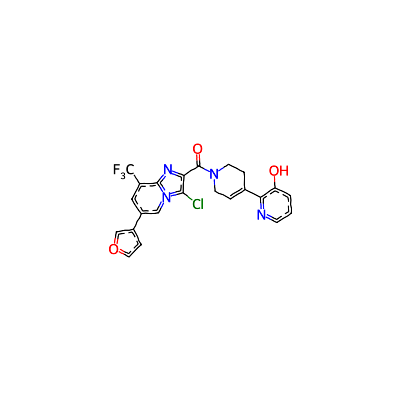 O=C(c1nc2c(C(F)(F)F)cc(-c3ccoc3)cn2c1Cl)N1CC=C(c2ncccc2O)CC1